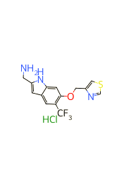 Cl.NCc1cc2cc(C(F)(F)F)c(OCc3cscn3)cc2[nH]1